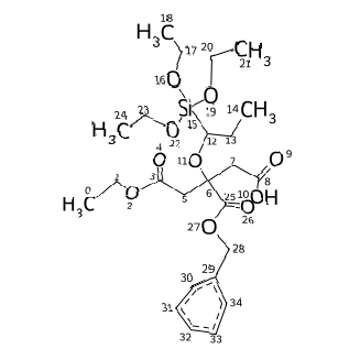 CCOC(=O)CC(CC(=O)O)(OC(CC)[Si](OCC)(OCC)OCC)C(=O)OCc1ccccc1